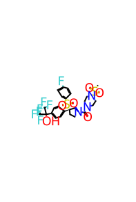 CS(=O)(=O)N1CCN(C(=O)N2CC[C@](c3ccc(C(O)(C(F)(F)F)C(F)(F)F)cc3)(S(=O)(=O)c3ccc(F)cc3)C2)CC1